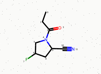 CCC(=O)N1CC(F)CC1C#N